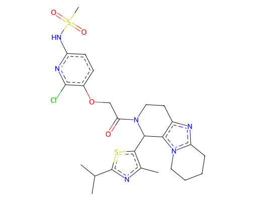 Cc1nc(C(C)C)sc1C1c2c(nc3n2CCCC3)CCN1C(=O)COc1ccc(NS(C)(=O)=O)nc1Cl